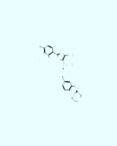 Cc1cc(Cl)ccc1-c1nc(C)c(NCOCc2ccc3c(c2)nc2n3CCSC2)s1